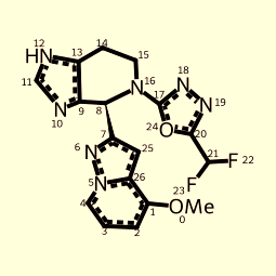 COc1cccn2nc([C@H]3c4nc[nH]c4CCN3c3nnc(C(F)F)o3)cc12